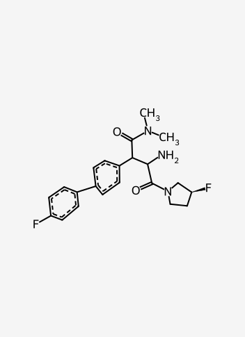 CN(C)C(=O)C(c1ccc(-c2ccc(F)cc2)cc1)C(N)C(=O)N1CC[C@H](F)C1